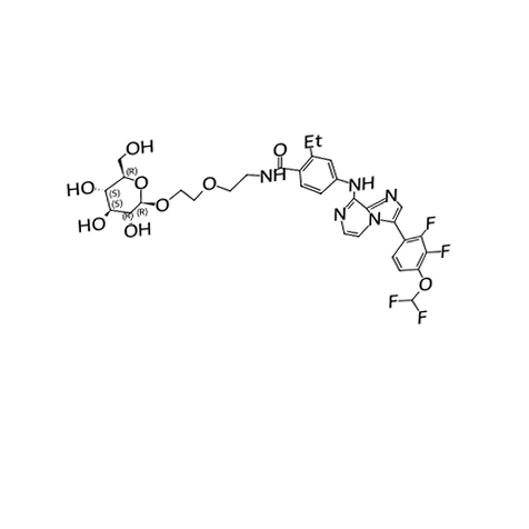 CCc1cc(Nc2nccn3c(-c4ccc(OC(F)F)c(F)c4F)cnc23)ccc1C(=O)NCCOCCO[C@@H]1O[C@H](CO)[C@@H](O)[C@H](O)[C@H]1O